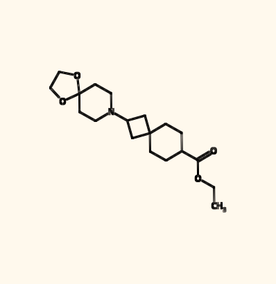 CCOC(=O)C1CCC2(CC1)CC(N1CCC3(CC1)OCCO3)C2